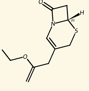 C=C(CC1=CN2C(=O)C[C@@H]2SC1)OCC